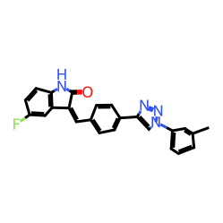 Cc1cccc(-n2cc(-c3ccc(C=C4C(=O)Nc5ccc(F)cc54)cc3)nn2)c1